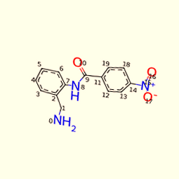 NCc1ccccc1NC(=O)c1ccc([N+](=O)[O-])cc1